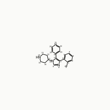 Fc1ccccc1-c1ncn(C2CCNCC2)c1-c1ccncc1